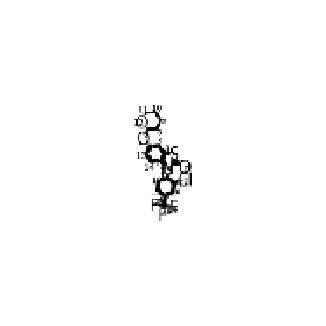 O=c1sc2cc(OC3CCCCO3)ccc2n1-c1ccc(C(F)(F)F)cc1Cl